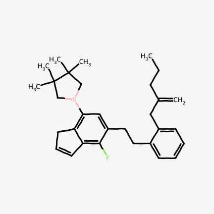 C=C(CCC)Cc1ccccc1CCc1cc(B2CC(C)(C)C(C)(C)C2)c2c(c1F)C=CC2